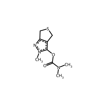 CN(C)C(=O)Oc1c2c(nn1C)CSC2